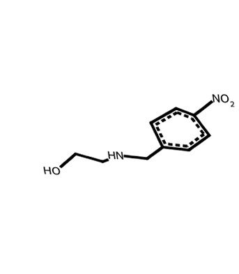 O=[N+]([O-])c1ccc(CNCCO)cc1